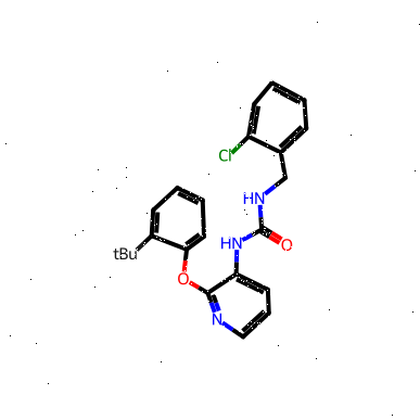 CC(C)(C)c1ccccc1Oc1ncccc1NC(=O)NCc1ccccc1Cl